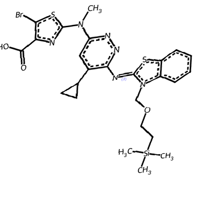 CN(c1cc(C2CC2)c(/N=c2\sc3ccccc3n2COCC[Si](C)(C)C)nn1)c1nc(C(=O)O)c(Br)s1